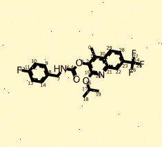 Cc1c(OC(=O)NCc2ccc(F)cc2)c(OC(C)C)nc2cc(C(F)(F)F)ccc12